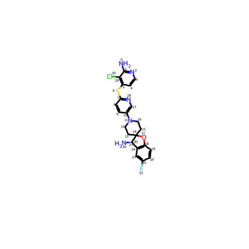 Nc1nccc(Sc2ccc(N3CCC4(CC3)Oc3ccc(F)cc3[C@H]4N)cn2)c1Cl